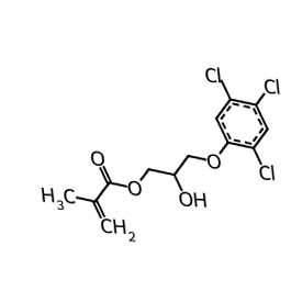 C=C(C)C(=O)OCC(O)COc1cc(Cl)c(Cl)cc1Cl